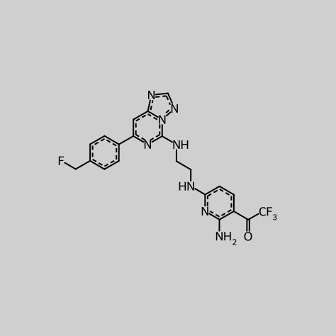 Nc1nc(NCCNc2nc(-c3ccc(CF)cc3)cc3ncnn23)ccc1C(=O)C(F)(F)F